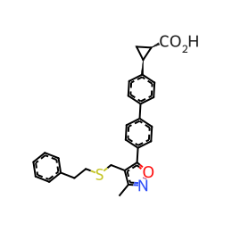 Cc1noc(-c2ccc(-c3ccc([C@H]4C[C@H]4C(=O)O)cc3)cc2)c1CSCCc1ccccc1